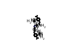 CC(C)c1ccc(CC(N)OC(=O)/C=C\C(=O)OC(N)Cc2ccc(C(C)C)c(NC(N)=O)c2)cc1NC(N)=O